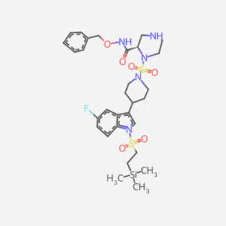 C[Si](C)(C)CCS(=O)(=O)n1cc(C2CCN(S(=O)(=O)N3CCNC[C@@H]3C(=O)NOCc3ccccc3)CC2)c2cc(F)ccc21